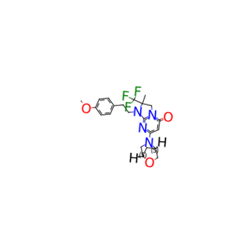 COc1ccc(CCN2c3nc(N4C[C@@H]5C[C@H]4CO5)cc(=O)n3CC2(C)C(F)(F)F)cc1